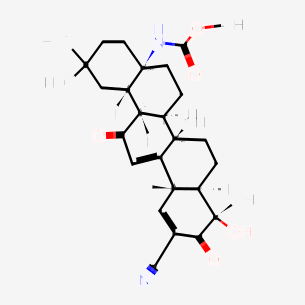 COC(=O)N[C@]12CCC(C)(C)C[C@H]1[C@H]1C(=O)C=C3[C@@]4(C)C=C(C#N)C(=O)[C@@](C)(O)[C@@H]4CC[C@@]3(C)[C@]1(C)CC2